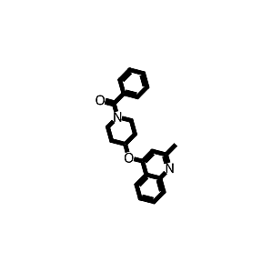 Cc1cc(OC2CCN(C(=O)c3ccccc3)CC2)c2ccccc2n1